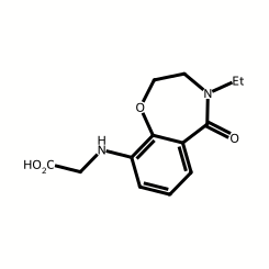 CCN1CCOc2c(NCC(=O)O)cccc2C1=O